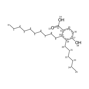 CCCCCCCCCCc1c(C(=O)O)ccc(O)c1CCCCCC